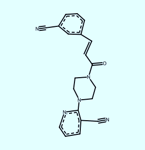 N#Cc1cccc(C=CC(=O)N2CCN(c3ncccc3C#N)CC2)c1